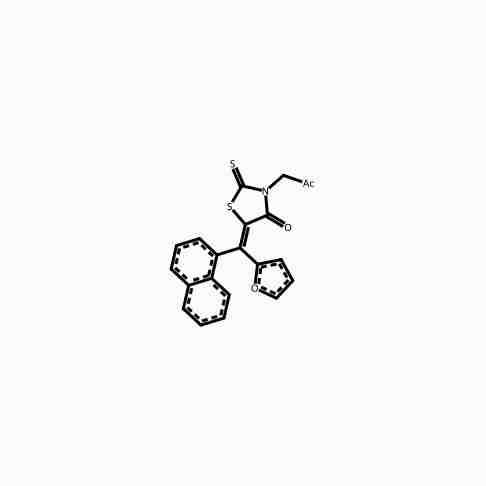 CC(=O)CN1C(=O)/C(=C(\c2ccco2)c2cccc3ccccc23)SC1=S